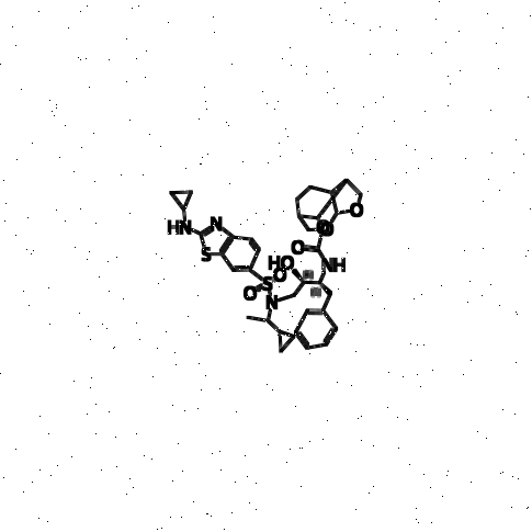 CC(C1CC1)N(C[C@@H](O)[C@H](Cc1ccccc1)NC(=O)OC1C2CCC3C(OC2)OCC31)S(=O)(=O)c1ccc2nc(NC3CC3)sc2c1